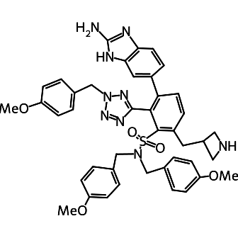 COc1ccc(CN(Cc2ccc(OC)cc2)S(=O)(=O)c2c(CC3CNC3)ccc(-c3ccc4nc(N)[nH]c4c3)c2-c2nnn(Cc3ccc(OC)cc3)n2)cc1